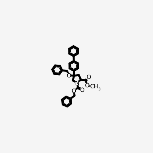 COC(=O)C1CC(OCc2ccccc2)(c2ccc(-c3ccccc3)cc2)CN1C(=O)OCc1ccccc1